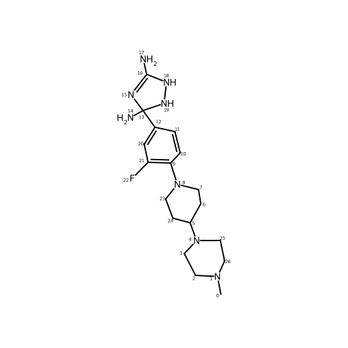 CN1CCN(C2CCN(c3ccc(C4(N)N=C(N)NN4)cc3F)CC2)CC1